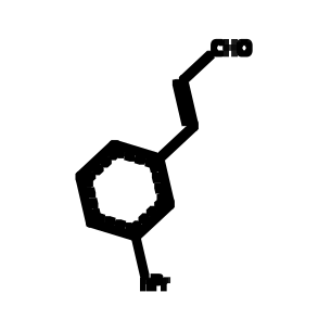 CCCc1cccc(/C=C/C=O)c1